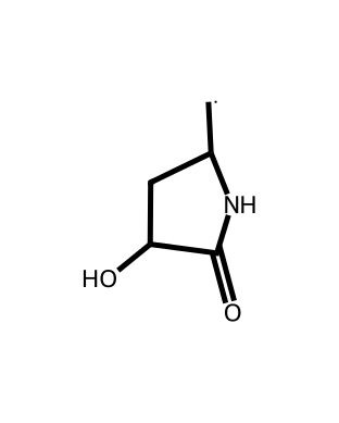 [CH2]C1CC(O)C(=O)N1